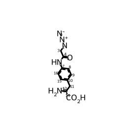 [N-]=[N+]=NCC(=O)Nc1ccc(C[C@H](N)C(=O)O)cc1